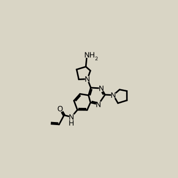 C=CC(=O)Nc1ccc2c(N3CCC(N)C3)nc(N3CCCC3)nc2c1